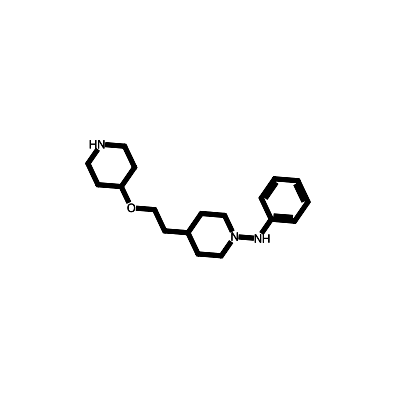 c1ccc(NN2CCC(CCOC3CCNCC3)CC2)cc1